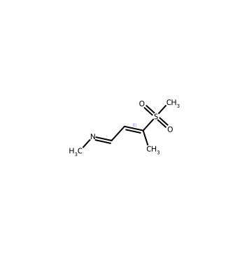 CN=C/C=C(\C)S(C)(=O)=O